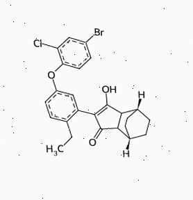 CCc1ccc(Oc2ccc(Br)cc2Cl)cc1C1=C(O)C2C(C1=O)[C@H]1CC[C@@H]2CC1